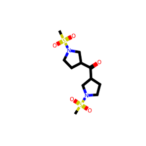 CS(=O)(=O)N1CCC(C(=O)C2CCN(S(C)(=O)=O)C2)C1